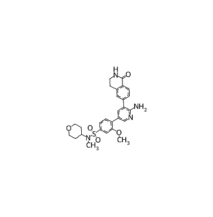 COc1cc(S(=O)(=O)N(C)C2CCOCC2)ccc1-c1cnc(N)c(-c2ccc3c(c2)CCNC3=O)c1